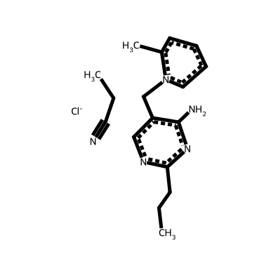 CCC#N.CCCc1ncc(C[n+]2ccccc2C)c(N)n1.[Cl-]